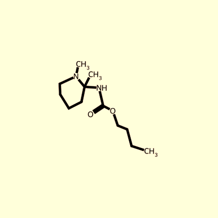 CCCCOC(=O)NC1(C)CCCCN1C